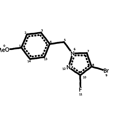 COc1ccc(Cn2cc(Br)c(F)n2)cc1